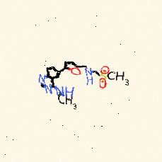 CNc1ncnc2ccc(-c3ccc(CNCCS(C)(=O)=O)o3)cc12